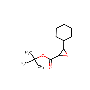 CC(C)(C)OC(=O)C1OC1C1CCCCC1